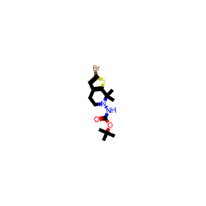 CC(C)(C)OC(=O)NN1CCc2cc(Br)sc2C1(C)C